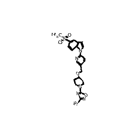 CC(C)c1noc(N2CCC(OCc3ccc(-n4ccc5cc(S(C)(=O)=O)ccc54)nc3)CC2)n1